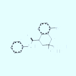 O=C(Nc1ccccc1)C1CC(C(=O)O)(C(=O)O)Cc2c(Br)cccc21